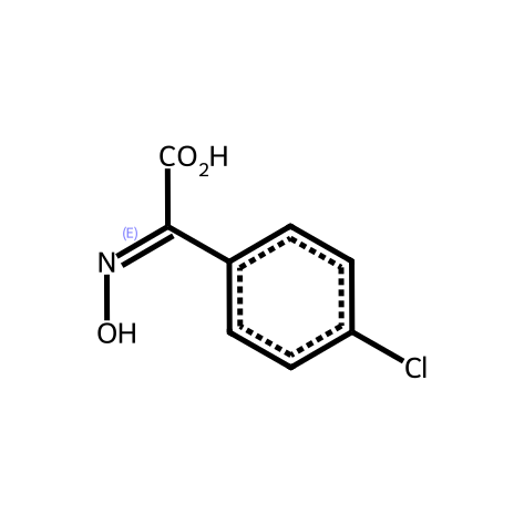 O=C(O)/C(=N/O)c1ccc(Cl)cc1